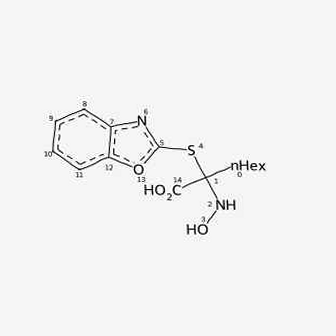 CCCCCCC(NO)(Sc1nc2ccccc2o1)C(=O)O